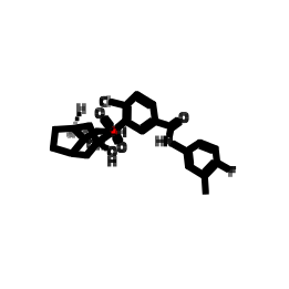 Cc1cc(NC(=O)c2ccc(Cl)c(S(=O)(=O)[C@]3(O)CC4CC[C@@H](C3)[C@@]4(O)CO)c2)ccc1F